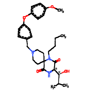 CCCCN1C(=O)[C@@H]([C@H](O)C(C)C)NC(=O)C12CCN(Cc1ccc(Oc3ccc(OC)cc3)cc1)CC2